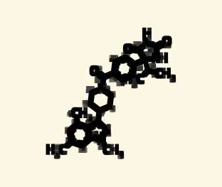 Cc1cc(C)c2c(C3CCN(C(=O)c4ccc([C@@]5(C(C)C)NC(=O)NC5=O)cc4)CC3)nn(C)c2c1